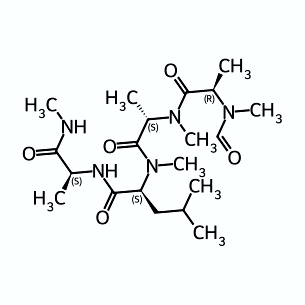 CNC(=O)[C@H](C)NC(=O)[C@H](CC(C)C)N(C)C(=O)[C@H](C)N(C)C(=O)[C@@H](C)N(C)C=O